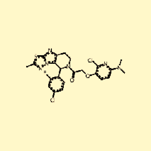 Cc1nn2c3c(nc2s1)CCN(C(=O)COc1ccc(N(C)C)nc1Cl)C3c1ccc(Cl)cc1F